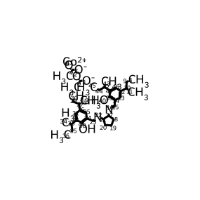 CC(=O)[O-].CC(=O)[O-].CCC(C)c1cc(C=NC2CCCC2N=Cc2cc(C(C)CC)cc(C(C)CC)c2O)c(O)c(C(C)CC)c1.[Co+2]